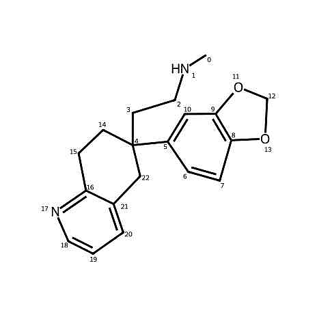 CNCCC1(c2ccc3c(c2)OCO3)CCc2ncccc2C1